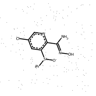 CC(C)[S+]([O-])c1cc(Cl)cnc1C(N)=NO